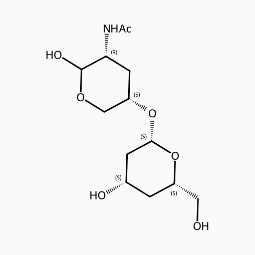 CC(=O)N[C@@H]1C[C@H](O[C@H]2C[C@@H](O)C[C@@H](CO)O2)COC1O